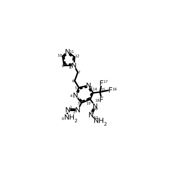 NN=Nc1nc(CCn2ccnc2)nc(C(F)(F)F)c1N=NN